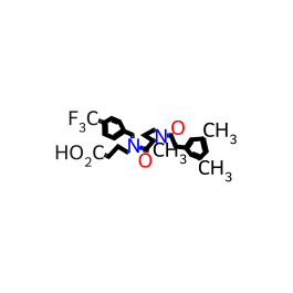 Cc1cc(C)cc(CC(=O)N2CCC2(C)C(=O)N(CCCC(=O)O)Cc2ccc(C(F)(F)F)cc2)c1